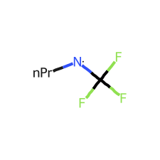 CCC[N]C(F)(F)F